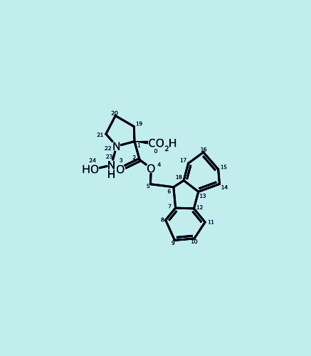 O=C(O)[C@]1(C(=O)OCC2c3ccccc3-c3ccccc32)CCCN1NO